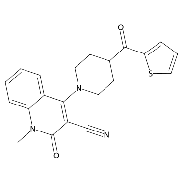 Cn1c(=O)c(C#N)c(N2CCC(C(=O)c3cccs3)CC2)c2ccccc21